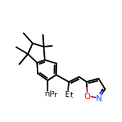 CCCc1cc2c(cc1/C(=C/c1ccno1)CC)C(C)(C)C(C)C2(C)C